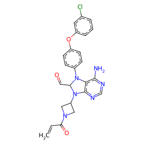 C=CC(=O)N1CC(N2c3ncnc(N)c3N(c3ccc(Oc4cccc(Cl)c4)cc3)C2C=O)C1